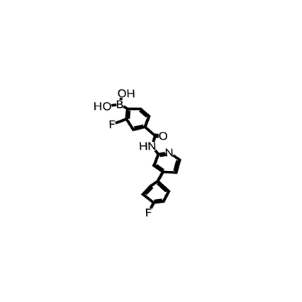 O=C(Nc1cc(-c2ccc(F)cc2)ccn1)c1ccc(B(O)O)c(F)c1